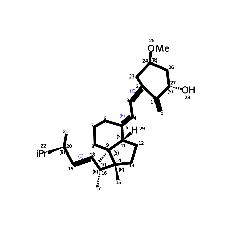 C=C1/C(=C\C=C2/CCC[C@@]3(C)[C@H]2CC[C@]3(C)[C@H](C)/C=C/[C@H](C)C(C)C)C[C@@H](OC)C[C@@H]1O